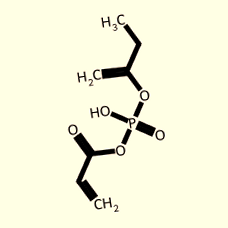 C=CC(=O)OP(=O)(O)OC(=C)CC